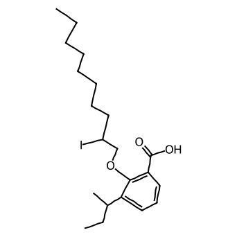 CCCCCCCCC(I)COc1c(C(=O)O)cccc1C(C)CC